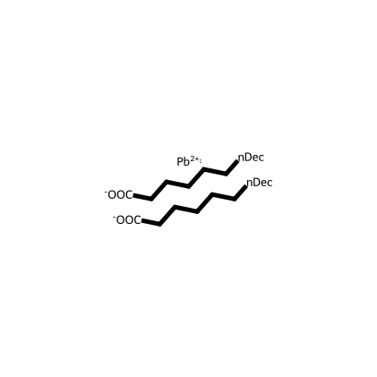 CCCCCCCCCCCCCCCC(=O)[O-].CCCCCCCCCCCCCCCC(=O)[O-].[Pb+2]